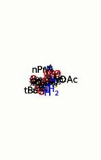 CCCC(=O)N(C)COC(=O)C1=C(COC(C)=O)CSC2C(NC(=O)C(N)(C(=O)OC(C)(C)C)c3ccc4c(c3)CCO4)C(=O)N12